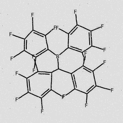 Fc1c(F)c(F)c(B(c2c(F)c(F)c(F)c(F)c2F)C(c2c(F)c(F)c(F)c(F)c2F)c2c(F)c(F)c(F)c(F)c2F)c(F)c1F